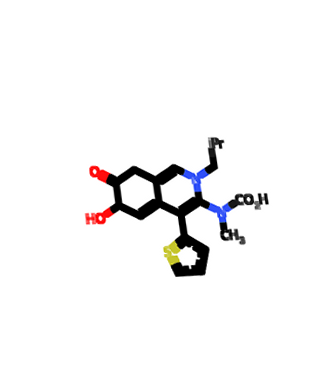 CC(C)CN1C=C2CC(=O)C(O)C=C2C(c2cccs2)=C1N(C)C(=O)O